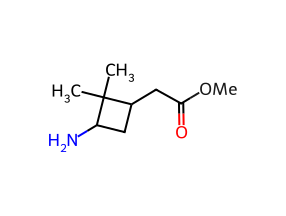 COC(=O)CC1CC(N)C1(C)C